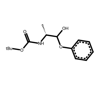 C[C@@H](NC(=O)OC(C)(C)C)C(O)Oc1ccccc1